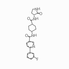 O=C(NC1CCC(C(=O)N[C@H]2CCNC2=O)CC1)c1ccc(-c2cccc(F)c2)nc1